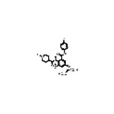 CC(C)N1CCC(C(=O)Nc2c(O)cc(Br)cc2C(=O)Nc2ccc(Cl)cn2)CC1.O=C(O)CC(=O)O